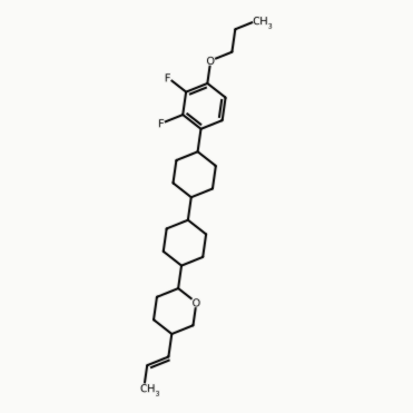 C/C=C/C1CCC(C2CCC(C3CCC(c4ccc(OCCC)c(F)c4F)CC3)CC2)OC1